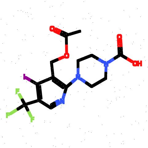 CC(=O)OCc1c(N2CCN(C(=O)O)CC2)ncc(C(F)(F)F)c1I